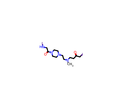 CN(CCC(=O)CI)CCN1CCN(C(=O)CNI)CC1